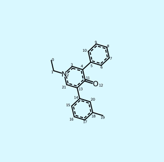 CCn1cc(-c2ccccc2)c(=O)c(-c2cccc(C)c2)c1